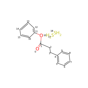 O=C(CCc1ccccc1)Oc1ccccc1.S.S